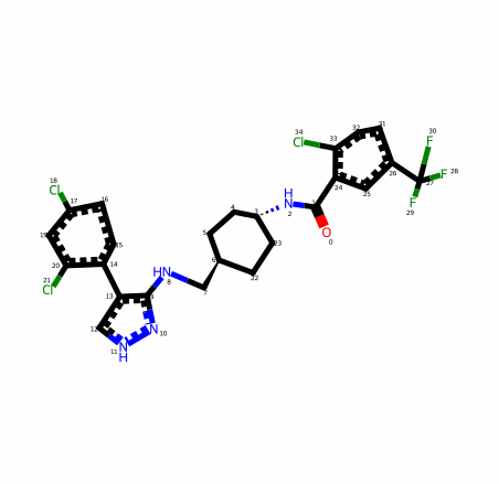 O=C(N[C@H]1CC[C@H](CNc2n[nH]cc2-c2ccc(Cl)cc2Cl)CC1)c1cc(C(F)(F)F)ccc1Cl